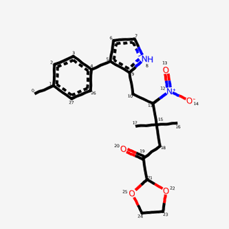 Cc1ccc(-c2cc[nH]c2CC([N+](=O)[O-])C(C)(C)CC(=O)C2OCCO2)cc1